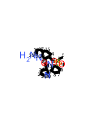 CCS(=O)(=O)c1ccccc1N(Cc1ccc2ccc(N)nc2c1)C(=O)c1cccnc1